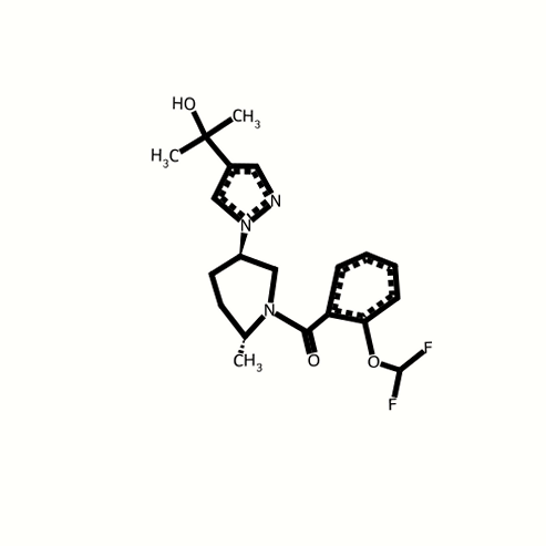 C[C@@H]1CC[C@@H](n2cc(C(C)(C)O)cn2)CN1C(=O)c1ccccc1OC(F)F